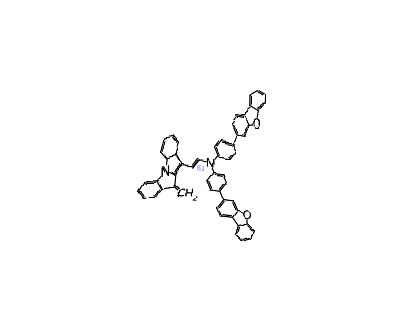 C=c1c2n(c3ccccc13)C1C=CC=CC1C=2/C=C/N(c1ccc(-c2ccc3c(c2)oc2ccccc23)cc1)c1ccc(-c2ccc3c(c2)oc2ccccc23)cc1